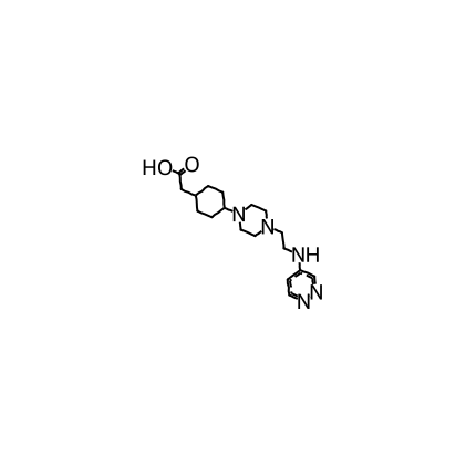 O=C(O)CC1CCC(N2CCN(CCNc3ccnnc3)CC2)CC1